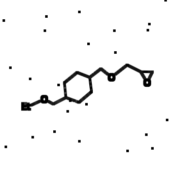 CCOCC1CCC(COCC2CO2)CC1